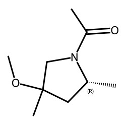 COC1(C)C[C@@H](C)N(C(C)=O)C1